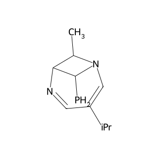 CC(C)C1=CN2C(C)C(N=C1)C2P